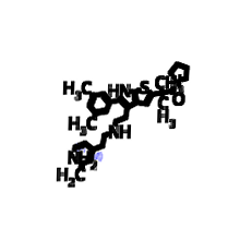 C=C/C=C(\C=C/N)CCNCCc1c(-c2cc(C)cc(C)c2)[nH]c2sc(C(C)(C)C(=O)N3CCCC3)cc12